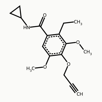 C#CCOc1c(OC)cc(C(=O)NC2CC2)c(CC)c1OC